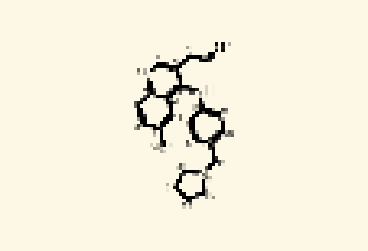 O=CCc1cnc2ccc(Br)cc2c1Nc1ccc(CN2CCCC2)cc1